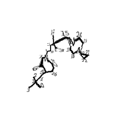 CC(C)(C)CC1CCN(CCCC(C)(C)CN2CCN(C3CC3)CC2)CC1